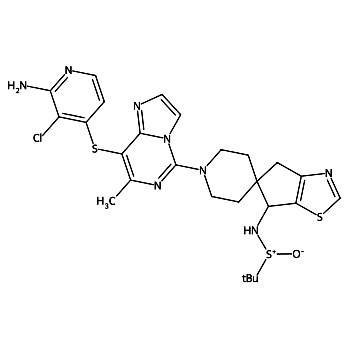 Cc1nc(N2CCC3(CC2)Cc2ncsc2C3N[S+]([O-])C(C)(C)C)n2ccnc2c1Sc1ccnc(N)c1Cl